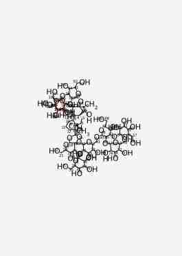 C=C1[C@H](O)[C@@]23CC[C@H]4[C@@](C)(CCC[C@@]4(C)C(=O)OC4OC(CO)C(O)C(OC5OC(CO)C(O)C(O)C5O)C4OC4OC(COC5OC(CO)C(O)C(OC6OC(CO)C(O)C(O)C6O)C5OC5OC(CO)C(O)C(O)C5O)C(O)C(O)C4O)[C@@H]2CCC1(OC1OC(CO)C(O)C(OC2OC(CO)C(O)C(O)C2O)C1OC1OC(CO)C(O)C(O)C1O)C3